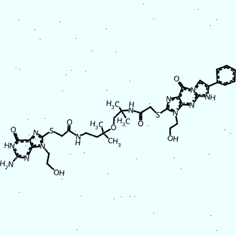 CC(C)(COC(C)(C)CCNC(=O)CSc1nc2c(=O)[nH]c(N)nc2n1CCO)NC(=O)CSc1nc2c(=O)n3cc(-c4ccccc4)[nH]c3nc2n1CCO